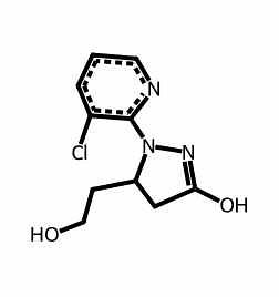 OCCC1CC(O)=NN1c1ncccc1Cl